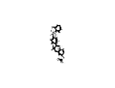 CC1(C)Cc2cc(OC(=O)O)ccc2NC1c1ccc(NS(=O)(=O)c2ccccc2F)cc1